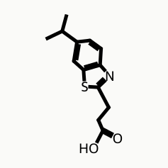 CC(C)c1ccc2nc(CCC(=O)O)sc2c1